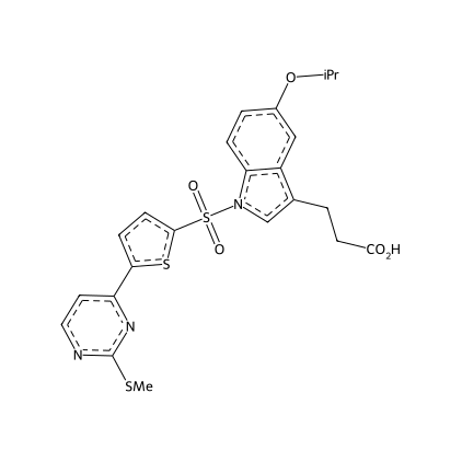 CSc1nccc(-c2ccc(S(=O)(=O)n3cc(CCC(=O)O)c4cc(OC(C)C)ccc43)s2)n1